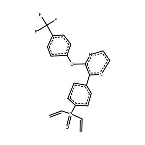 C=CP(=O)(C=C)c1ccc(-c2nccnc2Oc2ccc(C(F)(F)F)cc2)cc1